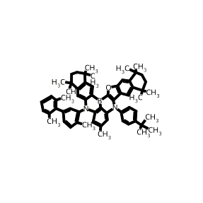 Cc1cc2c3c(c1)N(c1ccc(C(C)(C)C)cc1)c1c(oc4cc5c(cc14)C(C)(C)CCC5(C)C)B3c1cc3c(cc1N2c1cc(-c2c(C)cccc2C)ccc1C)C(C)(C)CCC3(C)C